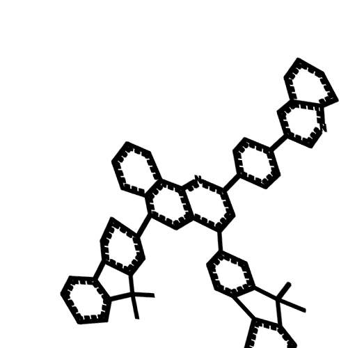 CC1(C)c2ccccc2-c2ccc(-c3cc4c(-c5ccc6c(c5)C(C)(C)c5ccccc5-6)cc(-c5ccc(-c6cnc7ccccc7c6)cc5)nc4c4ccccc34)cc21